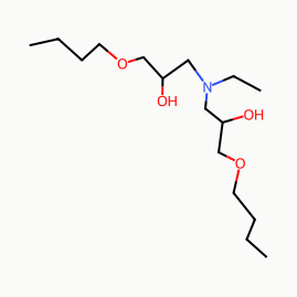 CCCCOCC(O)CN(CC)CC(O)COCCCC